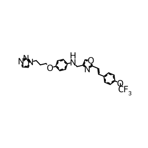 FC(F)(F)Oc1ccc(C=Cc2nc(CNc3ccc(OCCCn4ccnn4)cc3)co2)cc1